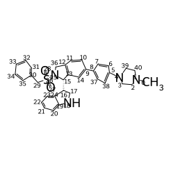 CN1CCN(c2ccc(-c3ccc4c(c3)[C@H](C3CNc5ccccc53)N(S(=O)(=O)Cc3ccccc3)C4)cc2)CC1